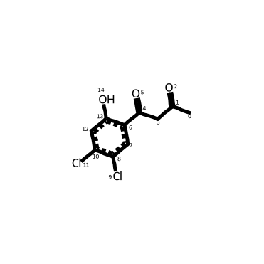 CC(=O)CC(=O)c1cc(Cl)c(Cl)cc1O